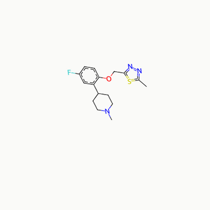 Cc1nnc(COc2ccc(F)cc2C2CCN(C)CC2)s1